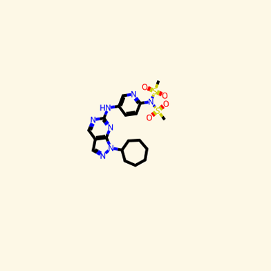 CS(=O)(=O)N(c1ccc(Nc2ncc3cnn(C4CCCCCC4)c3n2)cn1)S(C)(=O)=O